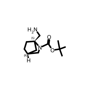 CC(C)(C)OC(=O)N1C[C@@H]2CC[C@@]1(CN)C2